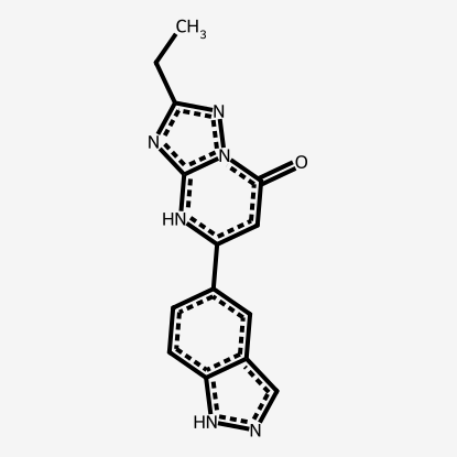 CCc1nc2[nH]c(-c3ccc4[nH]ncc4c3)cc(=O)n2n1